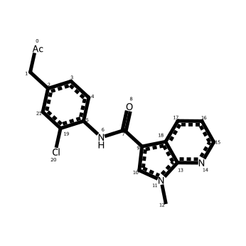 CC(=O)Cc1ccc(NC(=O)c2cn(C)c3ncccc23)c(Cl)c1